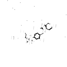 Cc1nc2c(n1Cc1ccc(S(=O)(=O)N(C)[C@@H](CC(C)C)C(=O)O)cc1Cl)C=CNC2